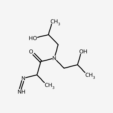 CC(O)CN(CC(C)O)C(=O)C(C)N=N